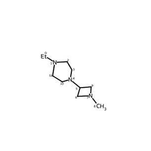 CCN1CCN(C2CN(C)C2)CC1